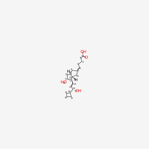 O=C(O)CCC/C=C1\C[C@@H]2C[C@@H](O)[C@H](/C=C/[C@H](O)C3CCC3)[C@H]2C1